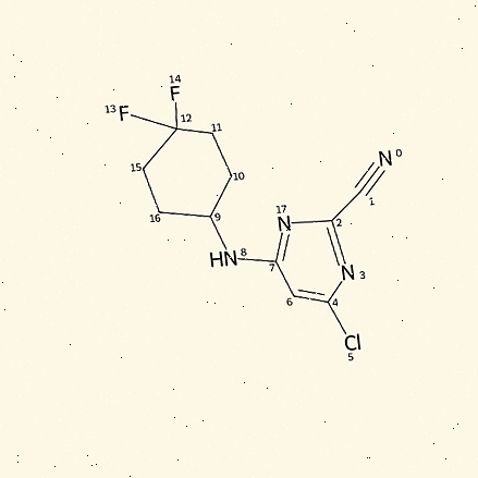 N#Cc1nc(Cl)cc(NC2CCC(F)(F)CC2)n1